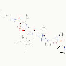 C=CCNC(=O)C(=O)C(NC(=O)[C@@H]1[C@@H]2[C@H](CN1C(=O)[C@@H](NC(=O)N[C@H](CN(C)S(=O)(=O)c1cccnc1)C(C)(C)C)C(C)(C)C)C2(C)C)C1CC1